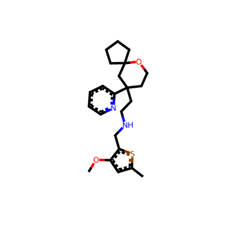 COc1cc(C)sc1CNCCC1(c2ccccn2)CCOC2(CCCC2)C1